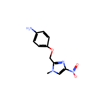 Cn1cc([N+](=O)[O-])nc1COc1ccc(N)cc1